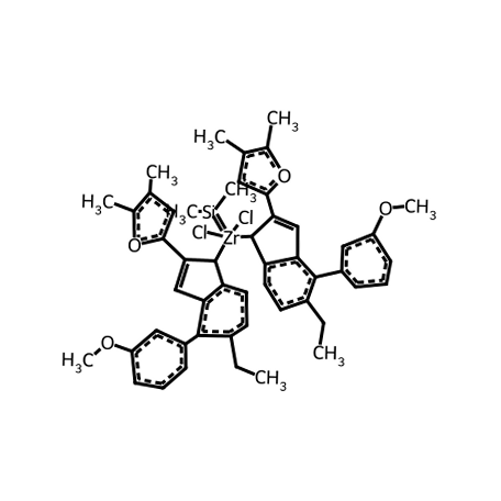 CCc1ccc2c(c1-c1cccc(OC)c1)C=C(c1cc(C)c(C)o1)[CH]2[Zr]([Cl])([Cl])([CH]1C(c2cc(C)c(C)o2)=Cc2c1ccc(CC)c2-c1cccc(OC)c1)=[Si](C)C